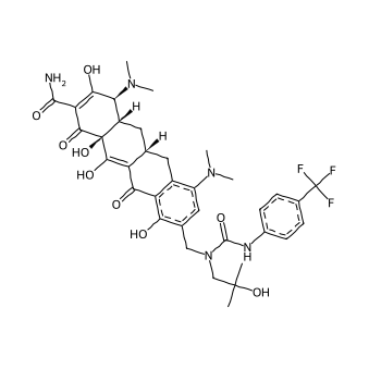 CN(C)c1cc(CN(CC(C)(C)O)C(=O)Nc2ccc(C(F)(F)F)cc2)c(O)c2c1C[C@H]1C[C@H]3[C@H](N(C)C)C(O)=C(C(N)=O)C(=O)[C@@]3(O)C(O)=C1C2=O